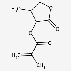 C=C(C)C(=O)OC1C(=O)OCC1C